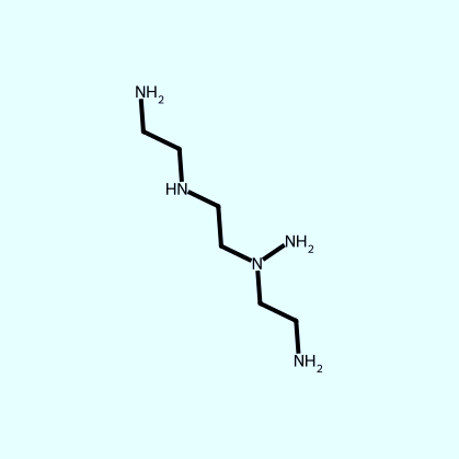 NCCNCCN(N)CCN